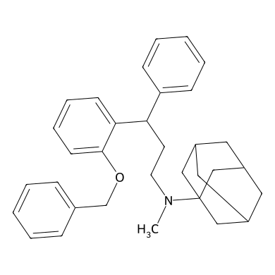 CN(CCC(c1ccccc1)c1ccccc1OCc1ccccc1)C12CC3CC(CC(C3)C1)C2